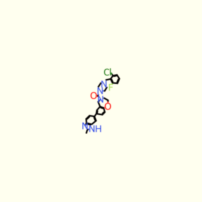 Cc1nc2ccc(-c3ccc4c(c3)CN(C(=O)N3CCN(Cc5c(F)cccc5Cl)CC3)CCO4)cc2[nH]1